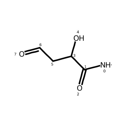 [NH]C(=O)C(O)CC=O